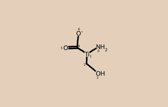 [NH2][Ti]([CH2]O)[C](=O)[O-]